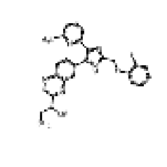 Cc1cccc(-c2nc(COc3ccccc3F)[nH]c2-c2ccc3ncc(C(O)CN)nc3c2)n1